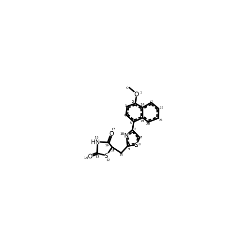 COc1ccc(-c2csc(CC3SC(=O)NC3=O)n2)c2ccccc12